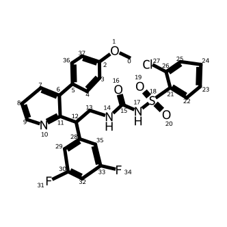 COc1ccc(-c2cccnc2C(CNC(=O)NS(=O)(=O)c2ccccc2Cl)c2cc(F)cc(F)c2)cc1